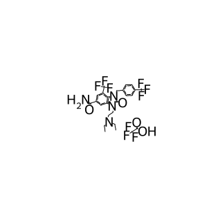 CCN(CC)CCn1c(=O)n(Cc2ccc(C(F)(F)F)cc2)c2c(C(F)(F)F)cc(C(N)=O)cc21.O=C(O)C(F)(F)F